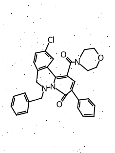 O=C(c1cc(-c2ccccc2)c(=O)n2c1-c1cc(Cl)ccc1CN2Cc1ccccc1)N1CCOCC1